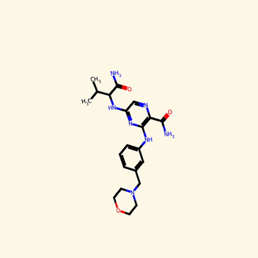 CC(C)C(Nc1cnc(C(N)=O)c(Nc2cccc(CN3CCOCC3)c2)n1)C(N)=O